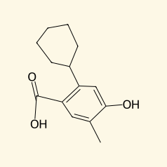 Cc1cc(C(=O)O)c(C2CCCCC2)cc1O